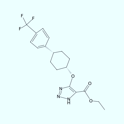 CCOC(=O)c1[nH]nnc1O[C@H]1CC[C@@H](c2ccc(C(F)(F)F)cc2)CC1